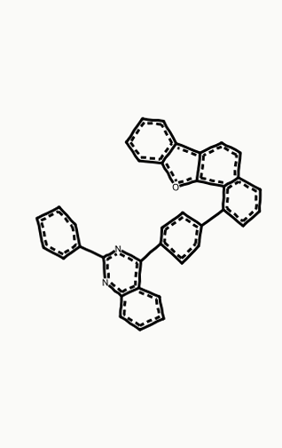 c1ccc(-c2nc(-c3ccc(-c4cccc5ccc6c7ccccc7oc6c45)cc3)c3ccccc3n2)cc1